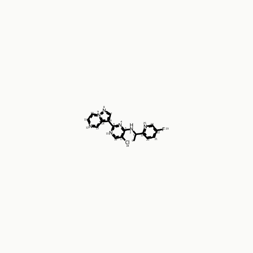 CC(Nc1nc(-c2cnn3ccncc23)ncc1Cl)c1ccc(F)cn1